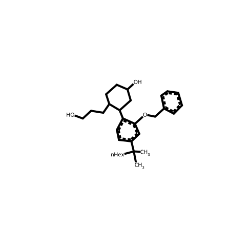 CCCCCCC(C)(C)c1ccc(C2CC(O)CCC2CCCO)c(OCc2ccccc2)c1